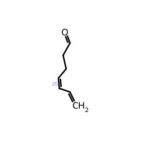 C=C/C=C\CCC=O